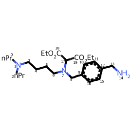 CCCN(CCC)CCCCN(Cc1ccc(CN)cc1)C(C(=O)OCC)C(=O)OCC